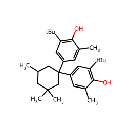 Cc1cc(C2(c3cc(C)c(O)c(C(C)(C)C)c3)CC(C)CC(C)(C)C2)cc(C(C)(C)C)c1O